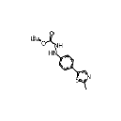 Cc1ncc(-c2ccc(NNC(=O)OC(C)(C)C)cc2)s1